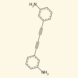 Nc1cccc(C#CC#Cc2cccc(N)c2)c1